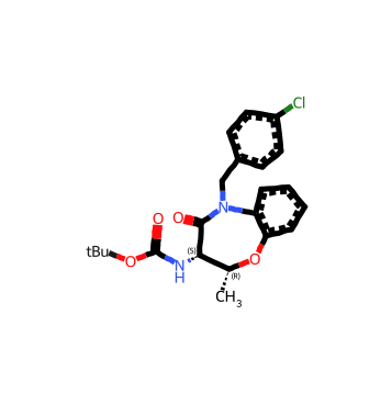 C[C@H]1Oc2ccccc2N(Cc2ccc(Cl)cc2)C(=O)[C@H]1NC(=O)OC(C)(C)C